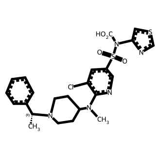 C[C@H](c1ccccc1)N1CCC(N(C)c2ncc(S(=O)(=O)N(C(=O)O)c3cscn3)cc2Cl)CC1